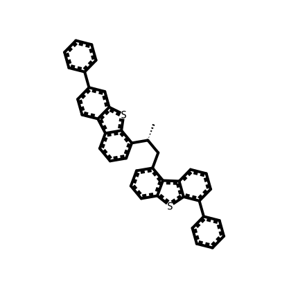 C[C@H](Cc1cccc2sc3c(-c4ccccc4)cccc3c12)c1cccc2c1sc1cc(-c3ccccc3)ccc12